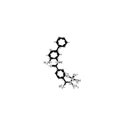 CC(c1ccc(C(=O)Nc2cc(-c3ccccc3)ccc2N)cc1)N(C)P(=O)(O)O